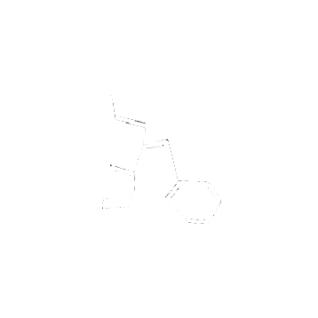 C/C=C/C(=C/c1ccccc1)c1ccccc1